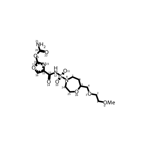 COCCOCC1CCN(S(=O)(=O)NC(=O)c2coc(OC(N)=O)n2)CCO1